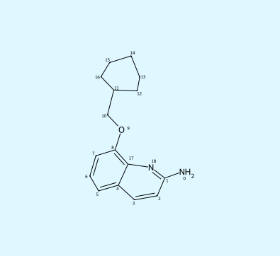 Nc1ccc2cccc(OCC3CCCCC3)c2n1